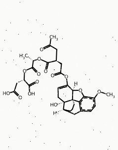 COc1ccc2c3c1O[C@@H]1C(OC(=O)C[C@H](CC(C)=O)C(=O)O[C@@H](C)C(=O)O[C@@H](CC(=O)O)C(=O)O)=CC[C@]4(O)[C@@H](CCC[C@@]314)C2